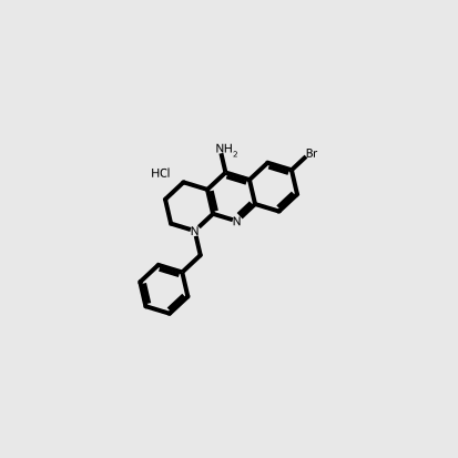 Cl.Nc1c2c(nc3ccc(Br)cc13)N(Cc1ccccc1)CCC2